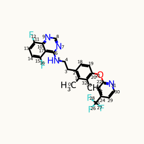 Cc1c(CCNc2ncnc3c(F)ccc(F)c23)ccc(Oc2cc(C(F)(F)F)ccn2)c1C